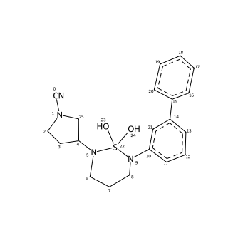 N#CN1CCC(N2CCCN(c3cccc(-c4ccccc4)c3)S2(O)O)C1